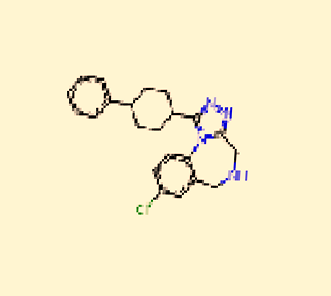 Clc1ccc2c(c1)CNCc1nnc(C3CCC(c4ccccc4)CC3)n1-2